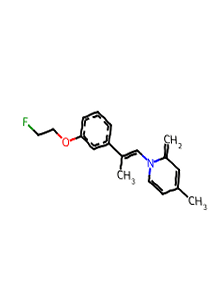 C=C1C=C(C)C=CN1/C=C(\C)c1cccc(OCCF)c1